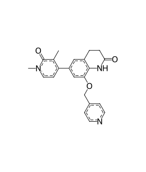 Cc1c(-c2cc3c(c(OCc4ccncc4)c2)NC(=O)CC3)ccn(C)c1=O